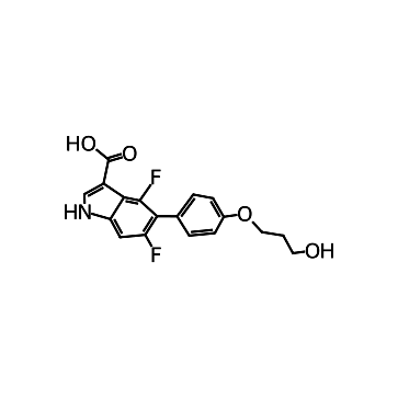 O=C(O)c1c[nH]c2cc(F)c(-c3ccc(OCCCO)cc3)c(F)c12